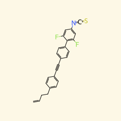 C=CCCc1ccc(C#Cc2ccc(-c3c(F)cc(N=C=S)cc3F)cc2)cc1